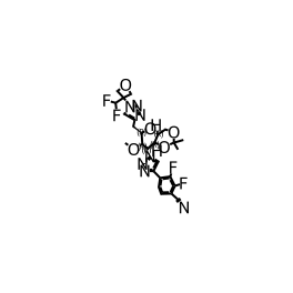 CO[C@@H]1[C@@H](n2cc(-c3ccc(C#N)c(F)c3F)nn2)[C@H]2OC(C)(C)OC[C@H]2O[C@@H]1Cc1cn(C2(C(F)F)COC2)nn1